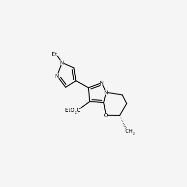 CCOC(=O)c1c(-c2cnn(CC)c2)nn2c1O[C@@H](C)CC2